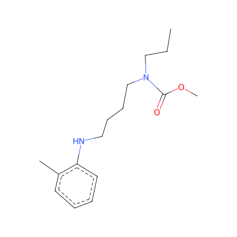 CCCN(CCCCNc1ccccc1C)C(=O)OC